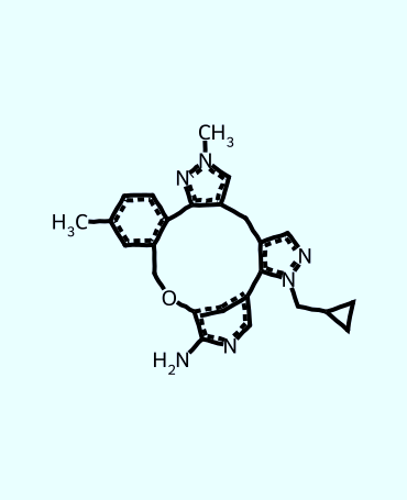 Cc1ccc2c(c1)COc1cc(cnc1N)-c1c(cnn1CC1CC1)Cc1cn(C)nc1-2